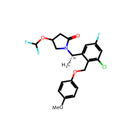 COc1ccc(OCc2c(Cl)cc(F)cc2[C@H](C)N2CC(OC(F)F)CC2=O)cc1